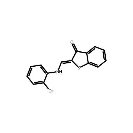 O=C1/C(=C/Nc2ccccc2O)Sc2ccccc21